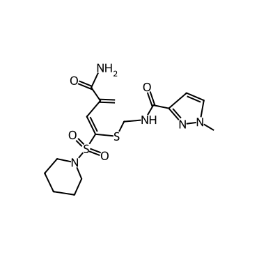 C=C(/C=C(\SCNC(=O)c1ccn(C)n1)S(=O)(=O)N1CCCCC1)C(N)=O